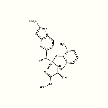 CCCOC(=O)[C@H](C)NP(=O)(Oc1c(C)cccc1C)[C@@H](F)c1ccc2sc(C(=O)O)cc2c1